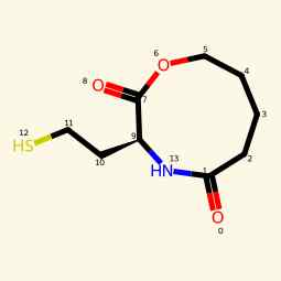 O=C1CCCCOC(=O)[C@H](CCS)N1